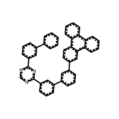 c1ccc(-c2cccc(-c3ncnc(-c4cccc(-c5cccc(-c6ccc7c8ccccc8c8ccccc8c7c6)c5)c4)n3)c2)cc1